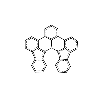 c1cc2c3c(c1)-c1cccc4c5ccccc5n(c14)B3n1c3ccccc3c3cccc-2c31